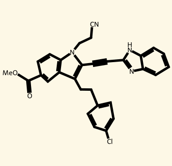 COC(=O)c1ccc2c(c1)c(CCc1ccc(Cl)cc1)c(C#Cc1nc3ccccc3[nH]1)n2CCC#N